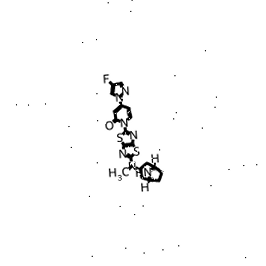 CN(c1nc2sc(-n3ccc(-n4cc(F)cn4)cc3=O)nc2s1)[C@@H]1C[C@H]2CC[C@@H](C1)N2